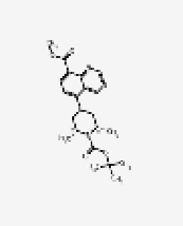 COC(=O)c1ccc(N2C[C@@H](C)N(C(=O)OC(C)(C)C)[C@@H](C)C2)c2cncnc12